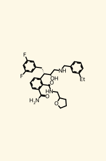 CCc1cccc(CNC[C@H](O)[C@@H](Cc2cc(F)cc(F)c2)c2cccc(C(N)=O)c2C(=O)NCC2CCCO2)c1